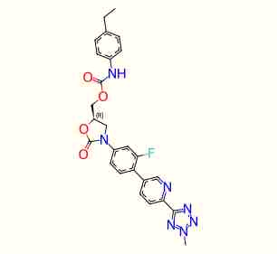 CCc1ccc(NC(=O)OC[C@H]2CN(c3ccc(-c4ccc(-c5nnn(C)n5)nc4)c(F)c3)C(=O)O2)cc1